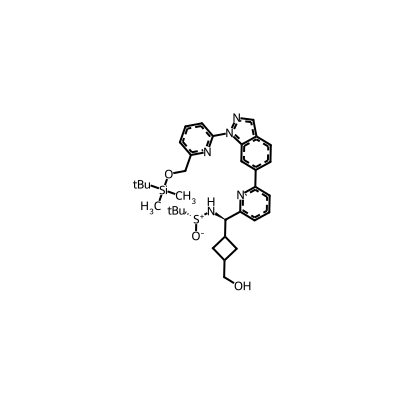 CC(C)(C)[S@@+]([O-])N[C@@H](c1cccc(-c2ccc3cnn(-c4cccc(CO[Si](C)(C)C(C)(C)C)n4)c3c2)n1)C1CC(CO)C1